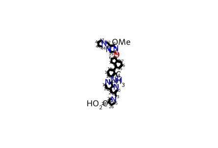 COc1nc(O[C@@H]2CCc3c(-c4cccc(Nc5nccc6cc(CN7CC[C@@H](C(=O)O)C7)cnc56)c4C)cccc32)cnc1CN1CCCC1